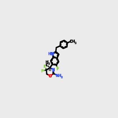 Cc1ccc(Cc2cc3cc(F)c([C@@]4(C)N=C(N)OCC4(F)F)cc3[nH]2)cc1